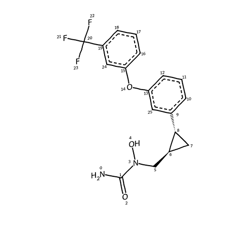 NC(=O)N(O)C[C@@H]1C[C@H]1c1cccc(Oc2cccc(C(F)(F)F)c2)c1